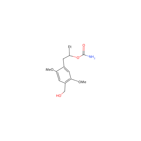 CCC(Cc1cc(OC)c(CO)cc1OC)OC(N)=O